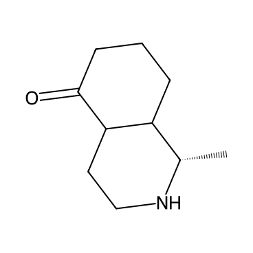 C[C@@H]1NCCC2C(=O)CCCC21